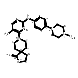 Cc1cnc(Nc2ccc(N3CCN(C)CC3)cc2)nc1N1CCC2(CCNC2=O)CC1